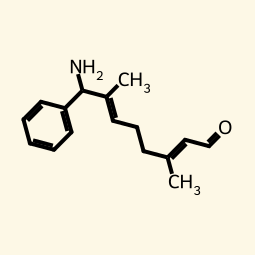 CC(=CC=O)CCC=C(C)C(N)c1ccccc1